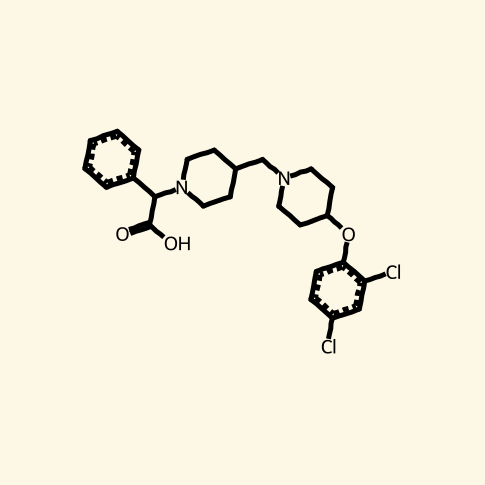 O=C(O)C(c1ccccc1)N1CCC(CN2CCC(Oc3ccc(Cl)cc3Cl)CC2)CC1